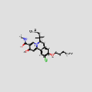 CCNC(=O)c1cn2c(cc1=O)-c1cc(Cl)c(OCCCOC)cc1CC2C(C)(C)COC